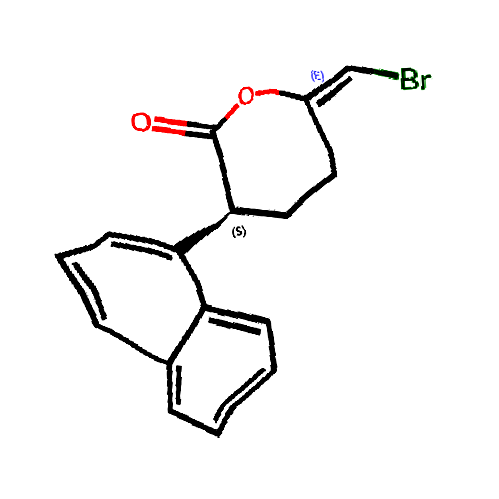 O=C1O/C(=C/Br)CC[C@H]1c1cccc2ccccc12